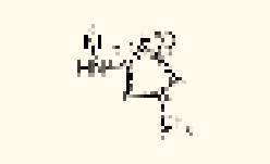 NNc1cccc(C(F)(F)F)c1.O